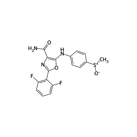 C[S+]([O-])c1ccc(Nc2oc(-c3c(F)cccc3F)nc2C(N)=O)cc1